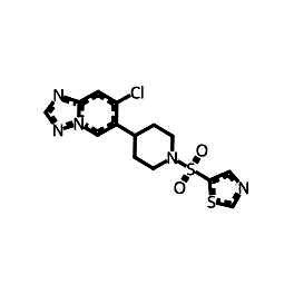 O=S(=O)(c1cncs1)N1CCC(c2cn3ncnc3cc2Cl)CC1